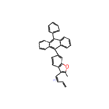 C=C/C=C\c1c(C)oc2cc(-c3c4ccccc4c(-c4ccccc4)c4ccccc34)ccc12